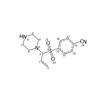 C=CC(N1CCNCC1)S(=O)(=O)c1ccc(C#N)cc1